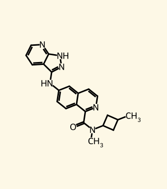 CC1CC(N(C)C(=O)c2nccc3cc(Nc4n[nH]c5ncccc45)ccc23)C1